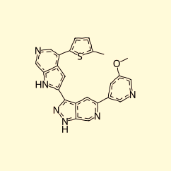 COc1cncc(-c2cc3c(-c4cc5c(-c6ccc(C)s6)cncc5[nH]4)n[nH]c3cn2)c1